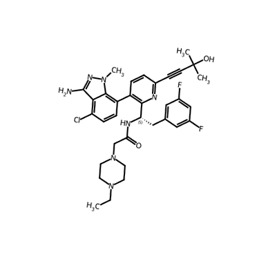 CCN1CCN(CC(=O)N[C@@H](Cc2cc(F)cc(F)c2)c2nc(C#CC(C)(C)O)ccc2-c2ccc(Cl)c3c(N)nn(C)c23)CC1